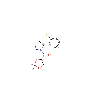 CC1(C)OC[C@@H](C([O])N2CCC[C@@H]2c2cc(F)ccc2F)O1